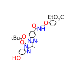 CCOC(=O)c1ccccc1OCCNC(=O)c1ccc2nc(C(C)c3nc4cc(O)ccc4n3COC(=O)C(C)(C)C)n(C)c2c1